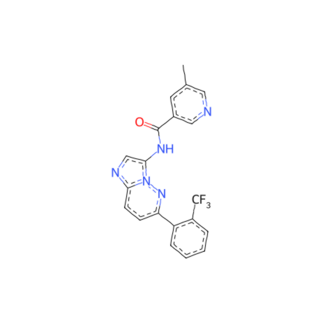 Cc1cncc(C(=O)Nc2cnc3ccc(-c4ccccc4C(F)(F)F)nn23)c1